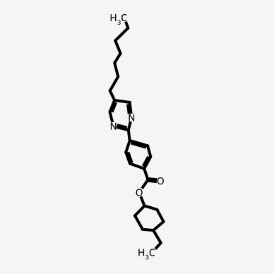 CCCCCCCc1cnc(-c2ccc(C(=O)OC3CCC(CC)CC3)cc2)nc1